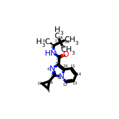 C[C@H](NC(=O)c1nc(C2CC2)n2ccccc12)C(C)(C)C